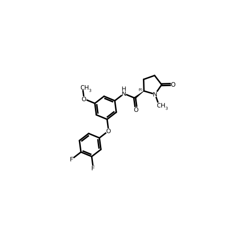 COc1cc(NC(=O)[C@H]2CCC(=O)N2C)cc(Oc2ccc(F)c(F)c2)c1